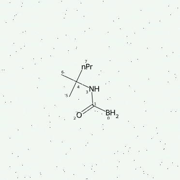 BC(=O)NC(C)(C)CCC